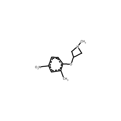 Cc1cc([N+](=O)[O-])ccc1OC1CN(C)C1